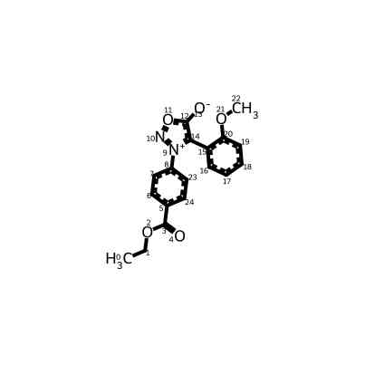 CCOC(=O)c1ccc(-[n+]2noc([O-])c2-c2ccccc2OC)cc1